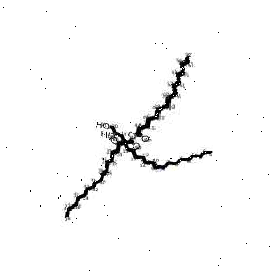 CCCCCCCC/C=C\CCCCCCC(CC(O)CO)(C(=O)CCCCCCCCCCCCCCC)C(=O)OC(=O)CCCCCCCCCCCCCCC